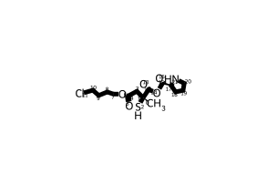 C[C@](S)(CC(=O)OCCCCCl)C(=O)OC(=O)[C@@H]1CCCN1